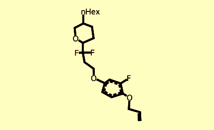 C=CCOc1ccc(OCCC(F)(F)C2CCC(CCCCCC)CO2)cc1F